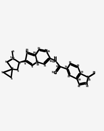 CN1CC2(CC2)C[C@@H]1c1cn2cc(NC(=O)c3ccc4c(cnn4C)c3)ncc2n1